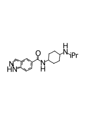 CC(C)NC1CCC(NC(=O)c2ccc3[nH]ncc3c2)CC1